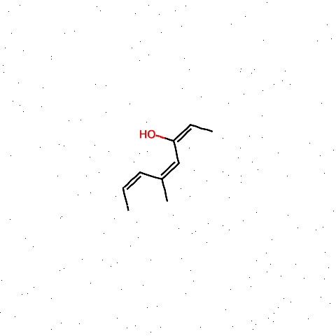 C\C=C/C(C)=C\C(O)=C/C